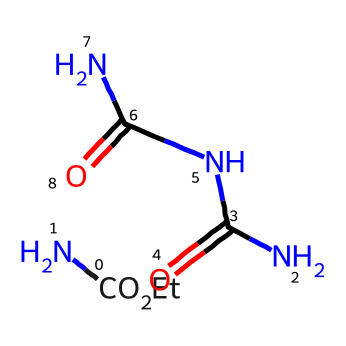 CCOC(N)=O.NC(=O)NC(N)=O